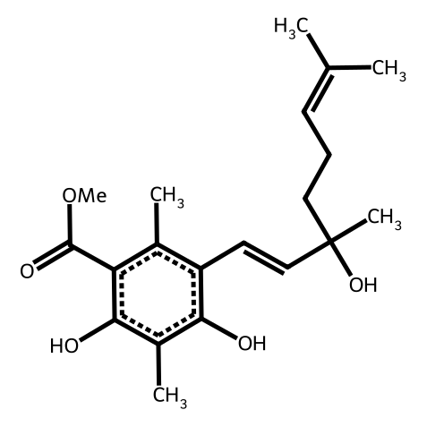 COC(=O)c1c(C)c(C=CC(C)(O)CCC=C(C)C)c(O)c(C)c1O